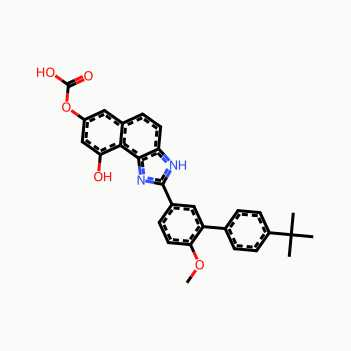 COc1ccc(-c2nc3c(ccc4cc(OC(=O)O)cc(O)c43)[nH]2)cc1-c1ccc(C(C)(C)C)cc1